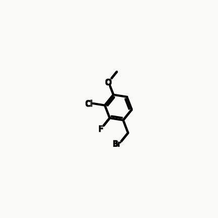 COc1ccc(CBr)c(F)c1Cl